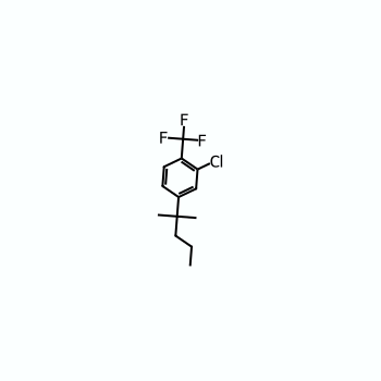 CCCC(C)(C)c1ccc(C(F)(F)F)c(Cl)c1